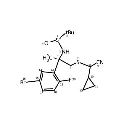 CC(C)(C)[S+]([O-])N[C@@](C)(CSC(C#N)C1CC1)c1cc(Br)ccc1F